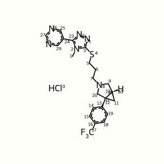 Cl.Cn1c(SCCCN2C[C@@H]3C[C@]3(c3ccc(C(F)(F)F)cc3)C2)nnc1-c1cncnc1